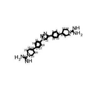 N=C(N)N1CC=C(c2ccc(-c3cn(-c4ccc(C5=CCN(C(=N)N)CC5)cc4)nn3)cc2)CC1